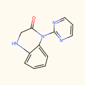 O=C1CNc2ccccc2N1c1ncccn1